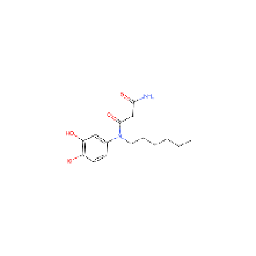 CCCCCCN(C(=O)CC(N)=O)c1ccc(O)c(O)c1